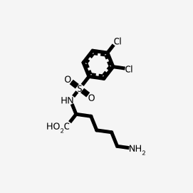 NCCCCC(NS(=O)(=O)c1ccc(Cl)c(Cl)c1)C(=O)O